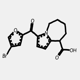 O=C(c1cc(Br)co1)c1ccc2n1CCCCC2C(=O)O